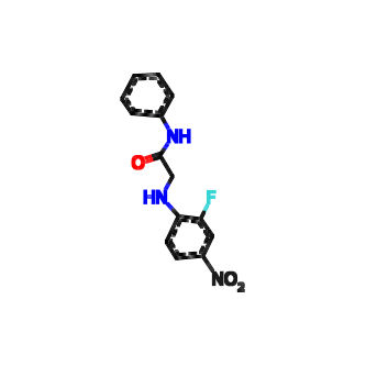 O=C(CNc1ccc([N+](=O)[O-])cc1F)Nc1ccccc1